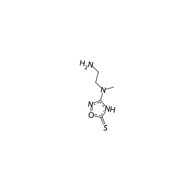 CN(CCN)c1noc(=S)[nH]1